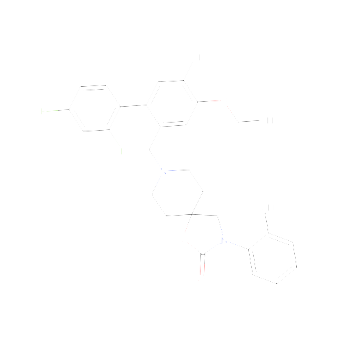 CCOc1cc(CN2CCC3(CC2)CN(c2ccccc2C)C(=O)O3)c(-c2ccc(F)cc2F)cc1C